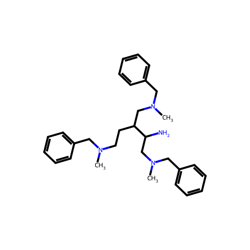 CN(CCC(CN(C)Cc1ccccc1)C(N)CN(C)Cc1ccccc1)Cc1ccccc1